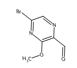 COc1nc(Br)cnc1C=O